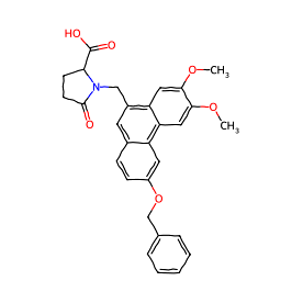 COc1cc2c(CN3C(=O)CCC3C(=O)O)cc3ccc(OCc4ccccc4)cc3c2cc1OC